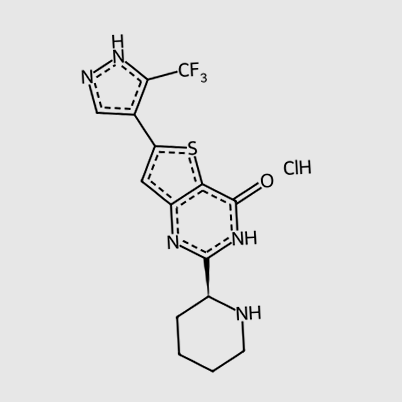 Cl.O=c1[nH]c([C@@H]2CCCCN2)nc2cc(-c3cn[nH]c3C(F)(F)F)sc12